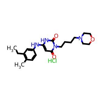 CCc1cc(Nc2cc(=O)n(CCCCN3CCOCC3)c(=O)[nH]2)ccc1C.Cl